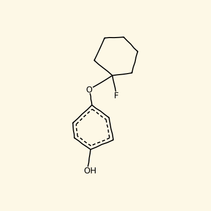 Oc1ccc(OC2(F)CCCCC2)cc1